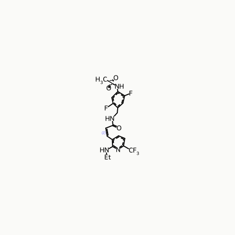 CCNc1nc(C(F)(F)F)ccc1/C=C\C(=O)NCc1cc(F)c(NS(C)(=O)=O)cc1F